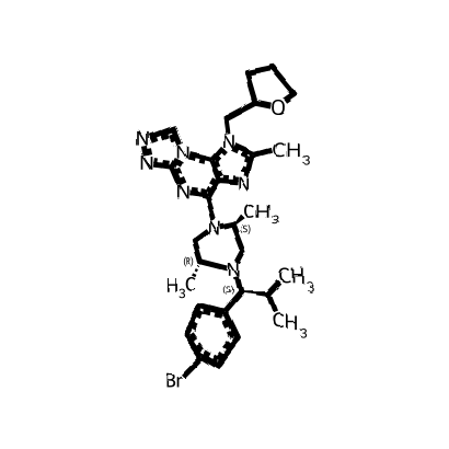 Cc1nc2c(N3C[C@@H](C)N([C@H](c4ccc(Br)cc4)C(C)C)C[C@@H]3C)nc3nncn3c2n1CC1CCCO1